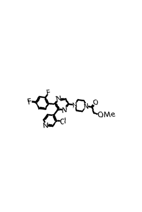 COCC(=O)N1CCN(c2cnc(-c3ccc(F)cc3F)c(-c3ccncc3Cl)n2)CC1